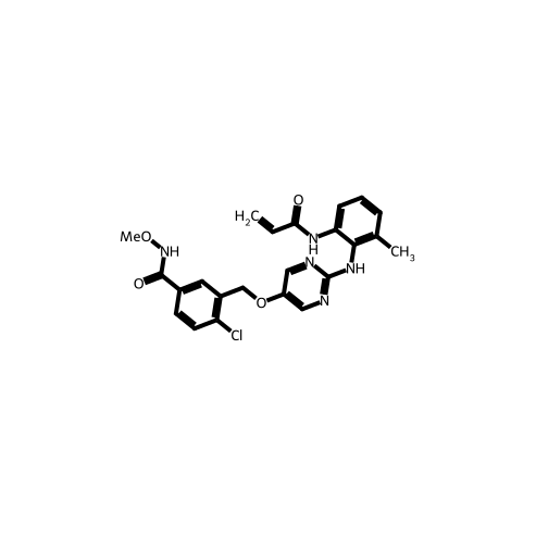 C=CC(=O)Nc1cccc(C)c1Nc1ncc(OCc2cc(C(=O)NOC)ccc2Cl)cn1